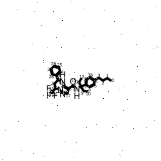 CCCCc1ccc(C(CC)(CC)NC(=O)c2cnn3c2NC(c2ccccc2)CC3C(F)(F)F)cc1